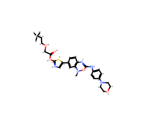 CN1OC(Nc2ccc(N3CCOCC3)cc2)=Nc2ccc(-c3cnc(OC(=O)COCC[Si](C)(C)C)s3)cc21